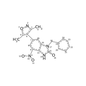 Cc1noc(C)c1-c1cc([N+](=O)[O-])c2[nH]c(=O)n(Cc3ccccc3)c2c1